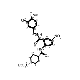 CCOC(=O)[C@H]1CC[C@H](C(=O)Nc2ccc([N+](=O)[O-])cc2C(=O)NCc2ccc(OC)c(Cl)c2)CC1